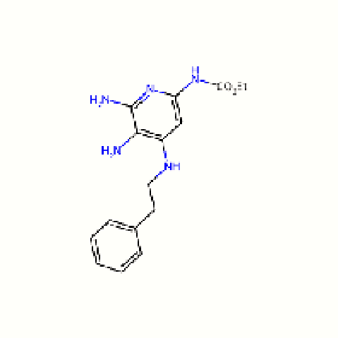 CCOC(=O)Nc1cc(NCCc2ccccc2)c(N)c(N)n1